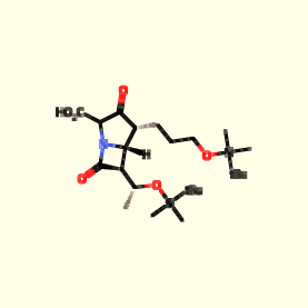 C[C@@H](O[Si](C)(C)C(C)(C)C)[C@H]1C(=O)N2C(C(=O)O)C(=O)[C@H](CCCO[Si](C)(C)C(C)(C)C)[C@H]12